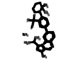 Cc1nc(C(C)C)n2c1cnc1ccc(-c3ccc(N4CCCCC4(C)C)c(C(F)(F)F)c3)cc12.N